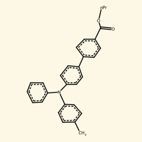 CCCOC(=O)c1ccc(-c2ccc(N(c3ccccc3)c3ccc(C)cc3)cc2)cc1